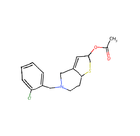 CC(=O)OC1C=C2CN(Cc3ccccc3Cl)CCC2S1